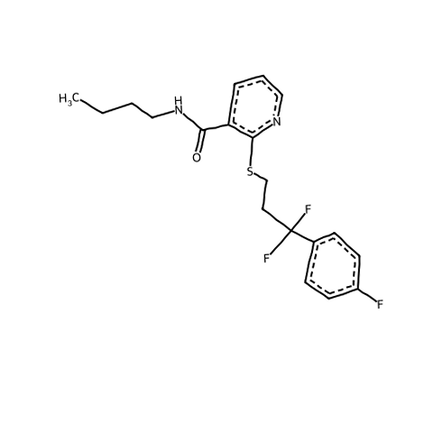 CCCCNC(=O)c1cccnc1SCCC(F)(F)c1ccc(F)cc1